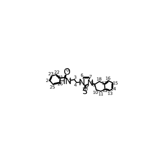 O=C(NCCn1ccn(C2CCc3ccccc3C2)c1=S)c1ccccc1